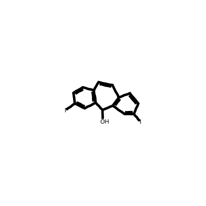 OC1c2cc(I)ccc2C=Cc2ccc(I)cc21